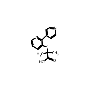 CC(C)(Sc1cccnc1-c1ccncc1)C(=O)O